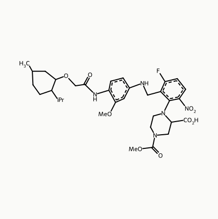 COC(=O)N1CCN(c2c([N+](=O)[O-])ccc(F)c2CNc2ccc(NC(=O)COC3CC(C)CCC3C(C)C)c(OC)c2)C(C(=O)O)C1